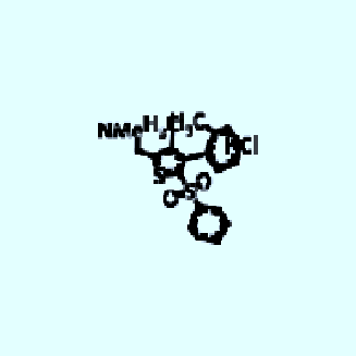 CNCc1sc(S(=O)(=O)c2ccccc2)c(-c2ccccc2C)c1C.Cl